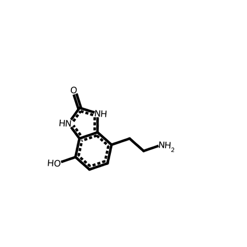 NCCc1ccc(O)c2[nH]c(=O)[nH]c12